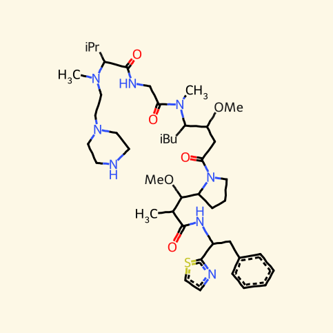 CCC(C)C(C(CC(=O)N1CCCC1C(OC)C(C)C(=O)NC(Cc1ccccc1)c1nccs1)OC)N(C)C(=O)CNC(=O)C(C(C)C)N(C)CCN1CCNCC1